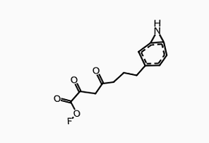 O=C(CCCc1ccc2c(c1)N2)CC(=O)C(=O)OF